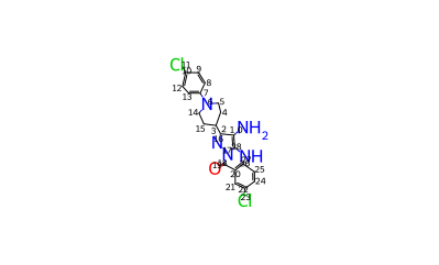 Nc1c(C2CCN(c3ccc(Cl)cc3)CC2)nn2c(=O)c3cc(Cl)ccc3[nH]c12